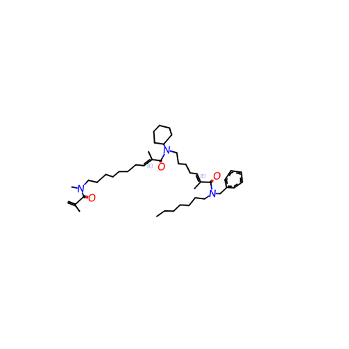 C=C(C)C(=O)N(C)CCCCCCC/C=C(\C)C(=O)N(CCCC/C=C(\C)C(=O)N(CCCCCCC)Cc1ccccc1)C1CCCCC1